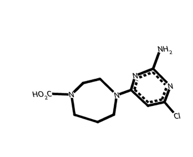 Nc1nc(Cl)cc(N2CCCN(C(=O)O)CC2)n1